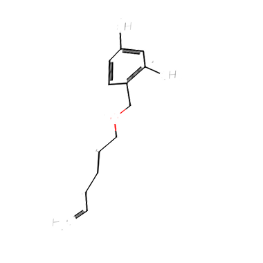 C=CCCCCOCc1ccc(C)cc1C